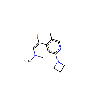 Cc1cnc(N2CCC2)cc1/C(Br)=C\N(C)C=O